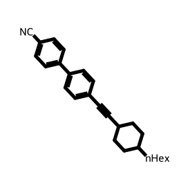 CCCCCCC1CCC(C#Cc2ccc(-c3ccc(C#N)cc3)cc2)CC1